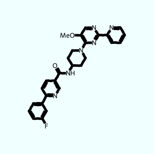 COc1cnc(-c2ccccn2)nc1N1CCC(NC(=O)c2ccc(-c3cccc(F)c3)nc2)CC1